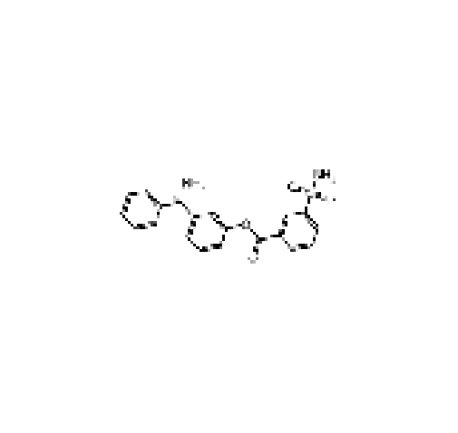 N[C@@H](c1ccccc1)c1cccc(OC(=O)c2cccc(S(N)(=O)=O)c2)c1